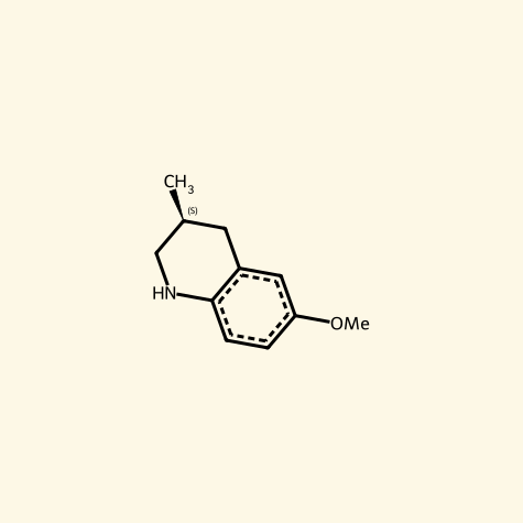 COc1ccc2c(c1)C[C@H](C)CN2